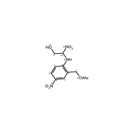 COCc1cc([N+](=O)[O-])ccc1NC(CO)[N+](=O)[O-]